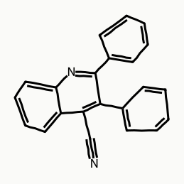 N#Cc1c(-c2ccccc2)c(-c2ccccc2)nc2ccccc12